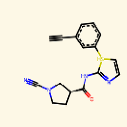 C#Cc1cccc([SH]2C=CN=C2NC(=O)[C@H]2CCN(C#N)C2)c1